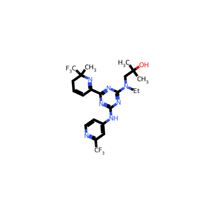 CCN(CC(C)(C)O)c1nc(Nc2ccnc(C(F)(F)F)c2)nc(C2=NC(C)(C(F)(F)F)CC=C2)n1